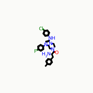 Cc1ccc(C[C@H](N)C(=O)N2CCN3C(Nc4ccc(Cl)cc4)=CN(c4ccc(F)cc4)C3C2)cc1